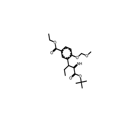 CCOC(=O)c1ccc(OCOC)c(C(CC)C(=N)C(=O)OC(C)(C)C)c1